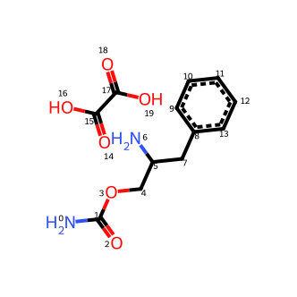 NC(=O)OCC(N)Cc1ccccc1.O=C(O)C(=O)O